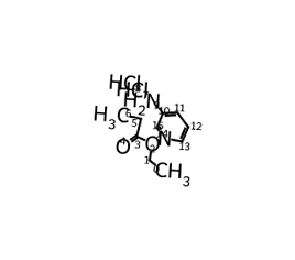 CCOC(=O)CC.Cl.Cl.Nc1cccnc1